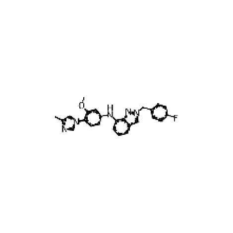 COc1cc(Nc2cccc3cn(Cc4ccc(F)cc4)nc23)ccc1-n1cnc(C)c1